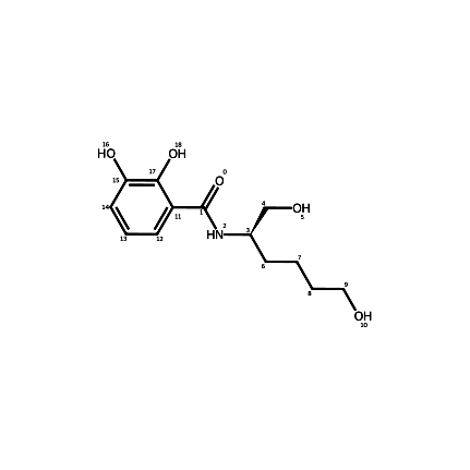 O=C(N[C@@H](CO)CCCCO)c1cccc(O)c1O